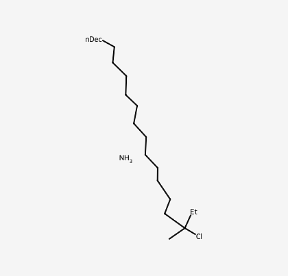 CCCCCCCCCCCCCCCCCCCCCCC(C)(Cl)CC.N